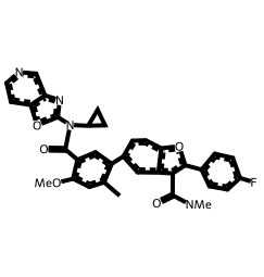 CNC(=O)c1c(-c2ccc(F)cc2)oc2ccc(-c3cc(C(=O)N(c4nc5cnccc5o4)C4CC4)c(OC)cc3C)cc12